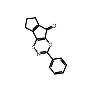 O=c1c2c(c3snc(-c4ccccc4)oc1=3)CCC2